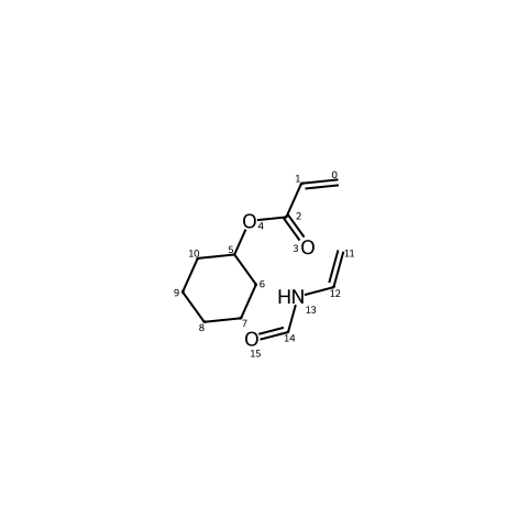 C=CC(=O)OC1CCCCC1.C=CNC=O